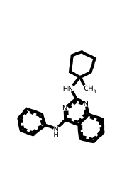 CC1(Nc2nc(Nc3ccccc3)c3ccccc3n2)CCCCC1